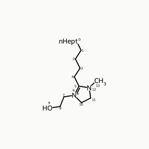 CCCCCCCCCCCC1=[N+](CCO)CCN1C